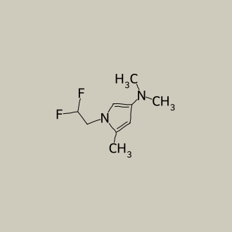 Cc1cc(N(C)C)cn1CC(F)F